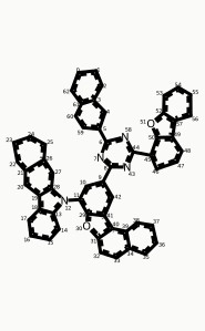 c1ccc2cc(-c3nc(-c4cc(-n5c6ccccc6c6cc7ccccc7cc65)c5oc6ccc7ccccc7c6c5c4)nc(-c4cccc5c4oc4ccccc45)n3)ccc2c1